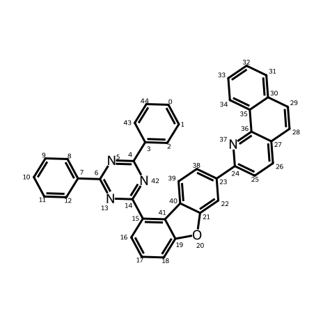 c1ccc(-c2nc(-c3ccccc3)nc(-c3cccc4oc5cc(-c6ccc7ccc8ccccc8c7n6)ccc5c34)n2)cc1